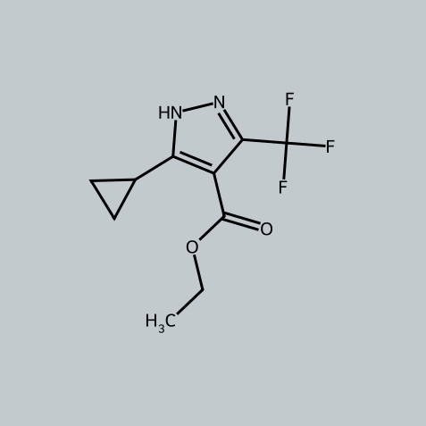 CCOC(=O)c1c(C(F)(F)F)n[nH]c1C1CC1